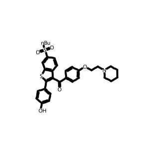 CCCCS(=O)(=O)c1ccc2c(C(=O)c3ccc(OCCN4CCCCC4)cc3)c(-c3ccc(O)cc3)sc2c1